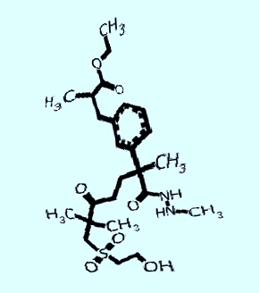 CCOC(=O)C(C)Cc1cccc(C(C)(CCC(=O)C(C)(C)CS(=O)(=O)CCO)C(=O)NNC)c1